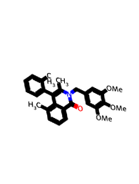 COc1cc(Cn2c(C)c(-c3ccccc3C)c3c(C)cccc3c2=O)cc(OC)c1OC